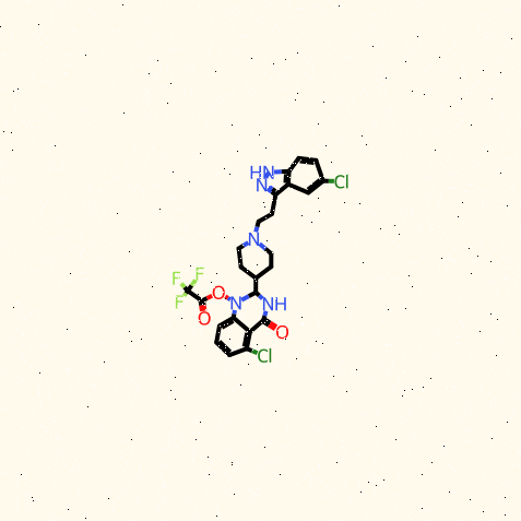 O=C1NC(C2CCN(CCc3n[nH]c4ccc(Cl)cc34)CC2)N(OC(=O)C(F)(F)F)c2cccc(Cl)c21